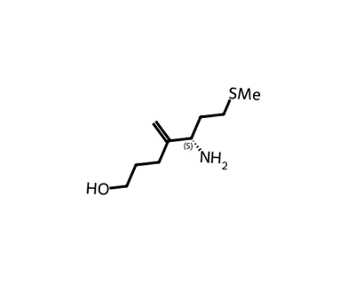 C=C(CCCO)[C@@H](N)CCSC